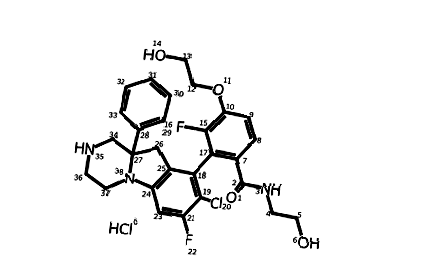 Cl.O=C(NCCO)c1ccc(OCCO)c(F)c1-c1c(Cl)c(F)cc2c1CC1(c3ccccc3)CNCCN21